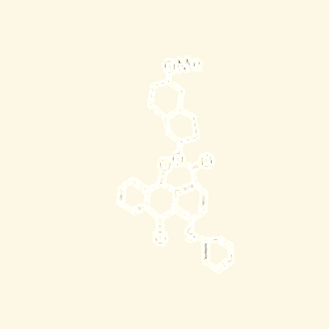 COC1CCC2CC(OC(=O)c3ccc(Sc4ccccc4)c4c3C(=O)c3ccccc3C4=O)CCC2C1